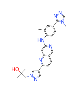 Cc1cc(-c2nncn2C)ccc1Nc1cc2nc(-c3cnn(CC(C)(C)O)c3)ccc2cn1